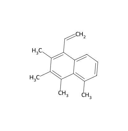 C=Cc1c(C)c(C)c(C)c2c(C)cccc12